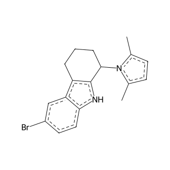 Cc1ccc(C)n1C1CCCc2c1[nH]c1ccc(Br)cc21